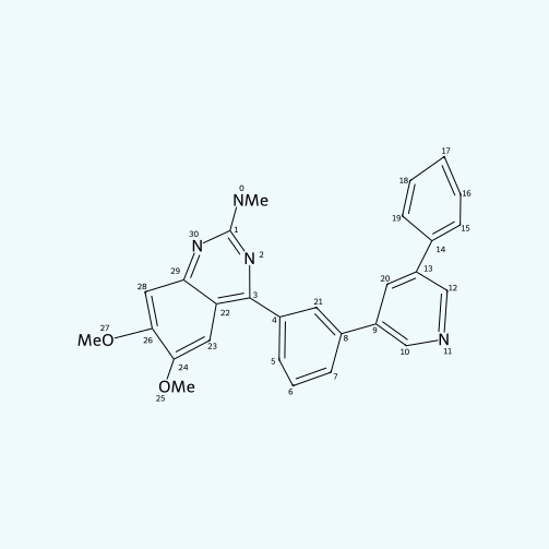 CNc1nc(-c2cccc(-c3cncc(-c4ccccc4)c3)c2)c2cc(OC)c(OC)cc2n1